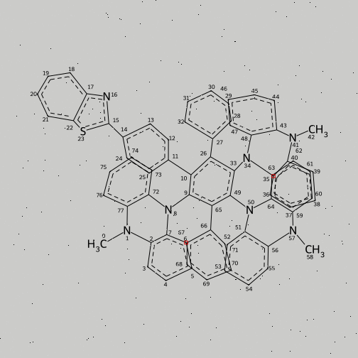 CN1c2ccccc2N(c2c(-c3ccc(-c4nc5ccccc5s4)cc3)c(-c3ccccc3)c(N3c4ccccc4N(C)c4ccccc43)c(N3c4ccccc4N(C)c4ccccc43)c2-c2ccccc2)c2ccccc21